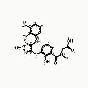 CN(CC(=O)O)C(=O)c1cccc(Nc2n[s+]([O-])nc2Nc2cccc(Cl)c2Cl)c1O